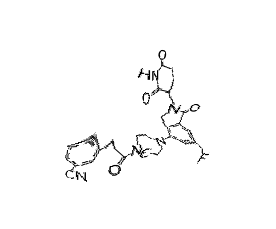 N#Cc1cccc(CC(=O)N2CCN(c3cc(F)cc4c3CN(C3CCC(=O)NC3=O)C4=O)CC2)c1